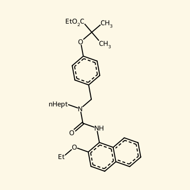 CCCCCCCN(Cc1ccc(OC(C)(C)C(=O)OCC)cc1)C(=O)Nc1c(OCC)ccc2ccccc12